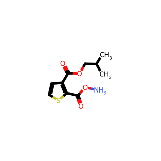 CC(C)COC(=O)c1ccsc1C(=O)ON